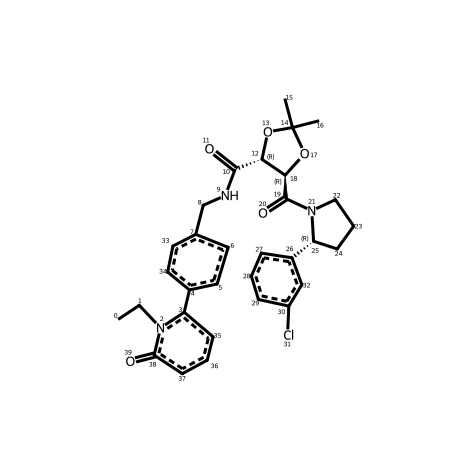 CCn1c(-c2ccc(CNC(=O)[C@@H]3OC(C)(C)O[C@H]3C(=O)N3CCC[C@@H]3c3cccc(Cl)c3)cc2)cccc1=O